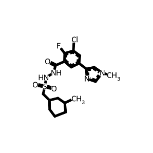 CC1CCCC(CS(=O)(=O)NNC(=O)c2cc(-c3cn(C)cn3)cc(Cl)c2F)C1